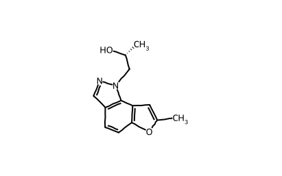 Cc1cc2c(ccc3cnn(C[C@@H](C)O)c32)o1